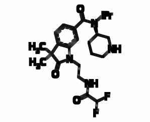 CC(C)N(C(=O)c1ccc2c(c1)N(CCNC(=O)C(F)F)C(=O)C2(C)C)[C@@H]1CCCNC1